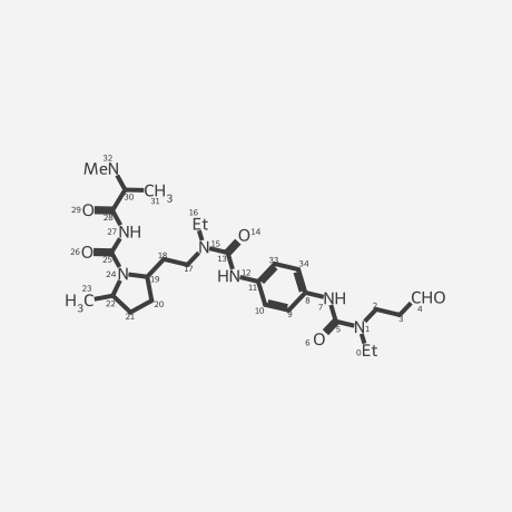 CCN(CCC=O)C(=O)Nc1ccc(NC(=O)N(CC)CCC2CCC(C)N2C(=O)NC(=O)C(C)NC)cc1